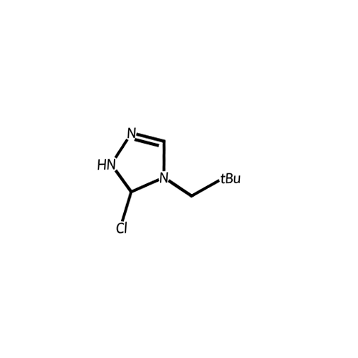 CC(C)(C)CN1C=NNC1Cl